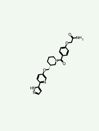 NC(=O)COc1ccc(C(=O)N2CCC[C@@H](COc3ccc(-c4ccn[nH]4)nc3)C2)cc1